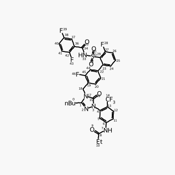 CCCCc1nn(-c2cc(NC(=O)CC)ccc2C(F)(F)F)c(=O)n1Cc1ccc(-c2cccc(F)c2S(=O)(=O)NC(=O)c2cc(F)ccc2F)cc1F